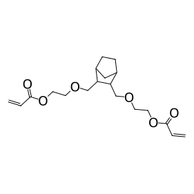 C=CC(=O)OCCOCC1C2CCC(C2)C1COCCOC(=O)C=C